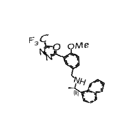 COc1ccc(CN[C@H](C)c2cccc3ccccc23)cc1-c1nnc(C(F)(F)F)o1